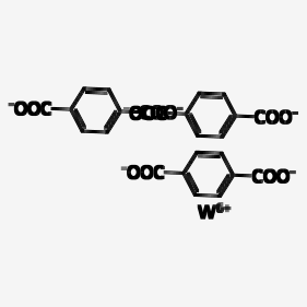 O=C([O-])c1ccc(C(=O)[O-])cc1.O=C([O-])c1ccc(C(=O)[O-])cc1.O=C([O-])c1ccc(C(=O)[O-])cc1.[W+6]